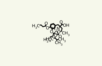 CCCC(=O)Oc1ccc(CC(N)(C[C@H](C)OC(=O)OC(C)C(C)C)C(=O)O)cc1OC(=O)CCC